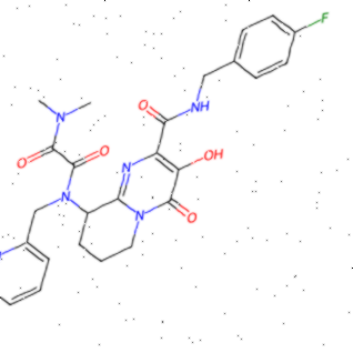 CN(C)C(=O)C(=O)N(Cc1ccccn1)C1CCCn2c1nc(C(=O)NCc1ccc(F)cc1)c(O)c2=O